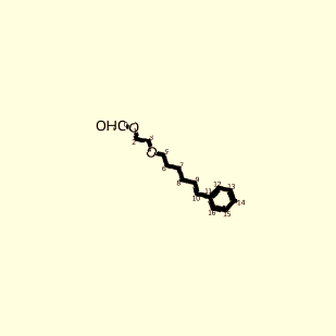 O=COCCOCCCCCCc1ccccc1